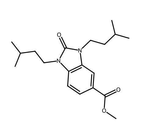 COC(=O)c1ccc2c(c1)n(CCC(C)C)c(=O)n2CCC(C)C